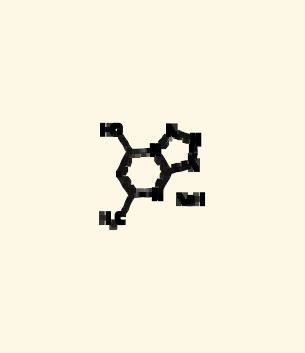 Cc1cc(O)n2nnnc2n1.[NaH]